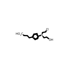 O=C(O)CCCc1ccc(N(CCO)CCCl)cc1